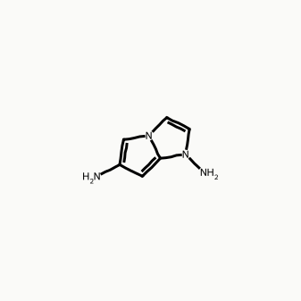 Nc1cc2n(N)ccn2c1